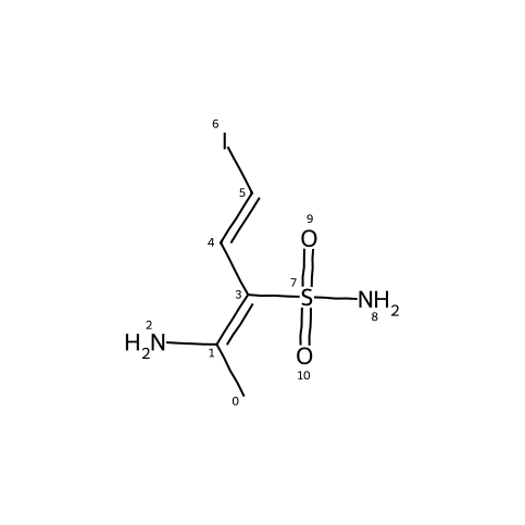 CC(N)=C(C=CI)S(N)(=O)=O